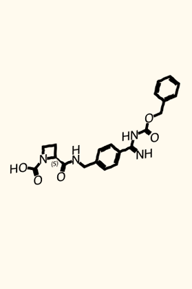 N=C(NC(=O)OCc1ccccc1)c1ccc(CNC(=O)[C@@H]2CCN2C(=O)O)cc1